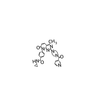 Cc1nc(N2CCN(C(=O)c3cccnc3)CC2)nc2c1ccc(=O)n2-c1ccc(C(=O)NC2CC2)cc1